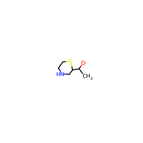 CC([O])C1CNCCS1